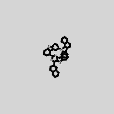 c1ccc2cc(-c3nc(-c4cccc5oc6ccc(-n7c8ccccc8c8ccc9ccccc9c87)cc6c45)nc4c3sc3ccccc34)ccc2c1